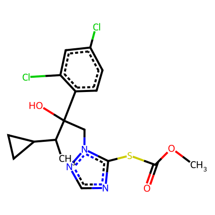 COC(=O)Sc1ncnn1CC(O)(c1ccc(Cl)cc1Cl)C(C)C1CC1